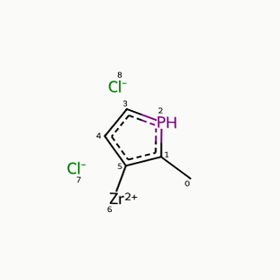 Cc1[pH]cc[c]1[Zr+2].[Cl-].[Cl-]